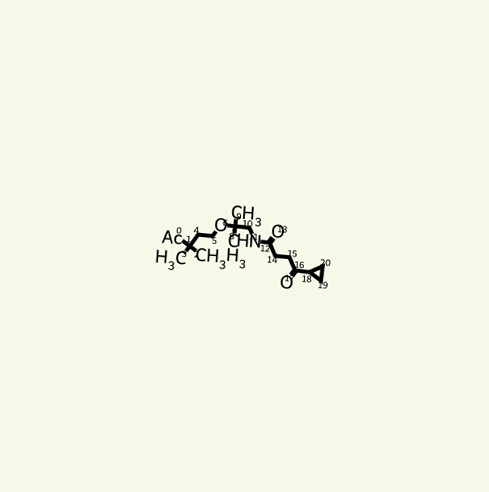 CC(=O)C(C)(C)CCOC(C)(C)CNC(=O)CCC(=O)C1CC1